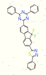 FC1(F)c2cc(-c3nc(-c4ccccc4)nc(-c4ccccc4)n3)ccc2-c2ccc(-c3nnc(-c4ccccc4)s3)cc21